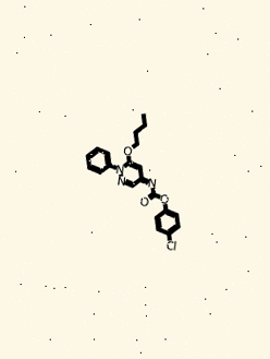 CCCCOc1cc(=NC(=O)Oc2ccc(Cl)cc2)cnn1-c1ccccc1